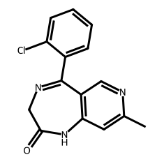 Cc1cc2c(cn1)C(c1ccccc1Cl)=NCC(=O)N2